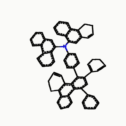 C1=CC(c2cc(-c3ccccc3)c3c(c4c(c5ccccc53)CCC=C4)c2-c2ccc(N(c3cc4c(c5ccccc35)CCC=C4)c3cc4ccccc4c4ccccc34)cc2)=CCC1